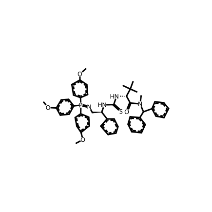 COc1ccc(P(=NC[C@@H](NC(=S)N[C@@H](C(=O)N(C)C(c2ccccc2)c2ccccc2)C(C)(C)C)c2ccccc2)(c2ccc(OC)cc2)c2ccc(OC)cc2)cc1